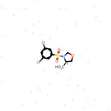 O=C(O)[C@@H]1COCN1S(=O)(=O)c1cc(Cl)cc(Cl)c1